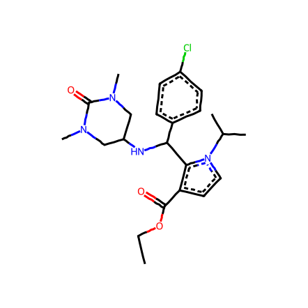 CCOC(=O)c1ccn(C(C)C)c1C(NC1CN(C)C(=O)N(C)C1)c1ccc(Cl)cc1